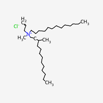 C=CC[N+](C)(CCCCCCCCCCCCC)CCC(C)CCCCCCCCCC.[Cl-]